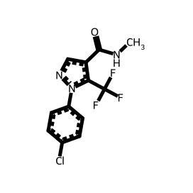 CNC(=O)c1cnn(-c2ccc(Cl)cc2)c1C(F)(F)F